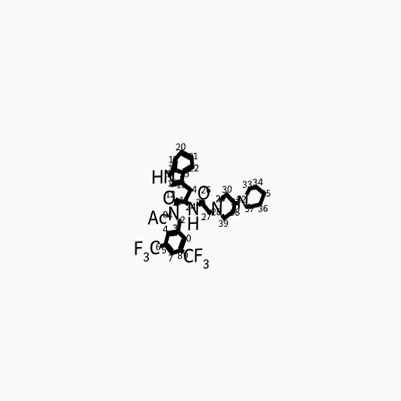 CC(=O)N(Cc1cc(C(F)(F)F)cc(C(F)(F)F)c1)C(=O)C(Cc1c[nH]c2ccccc12)NC(=O)CN1CCC(N2CCCCC2)CC1